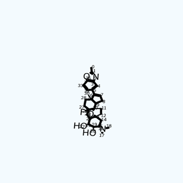 Cc1nc2cc(C3=CCC4[C@@]56CC[C@]7(C[C@H](N(C)C)[C@@H](O)[C@H](O)C7CC5(F)CC[C@]34C)O6)ccc2o1